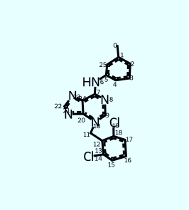 Cc1cccc(Nc2ncn(Cc3c(Cl)cccc3Cl)c3ncnc2-3)c1